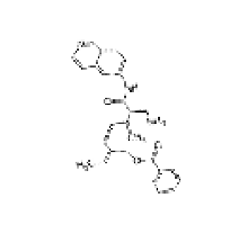 C=C(/C=C\C(=C/C)COC(=O)c1ccccc1)[C@H](CN)C(=O)Nc1ccc2cnccc2c1